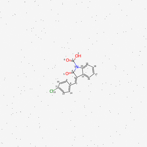 O=C(O)N1C(=O)C(=Cc2ccc(Cl)cc2)c2ccccc21